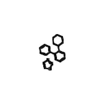 c1ccc(-c2ccccc2C2CCCCC2)cc1.c1conn1